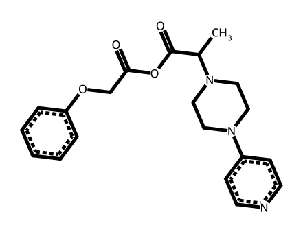 CC(C(=O)OC(=O)COc1ccccc1)N1CCN(c2ccncc2)CC1